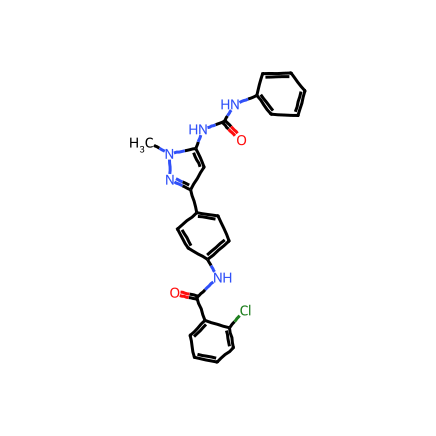 Cn1nc(-c2ccc(NC(=O)c3ccccc3Cl)cc2)cc1NC(=O)Nc1ccccc1